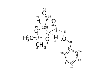 CC1(C)O[C@@H]2[C@@H](COCc3ccccc3)OC(=O)[C@@H]2O1